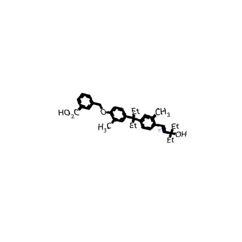 CCC(O)(/C=C/c1ccc(C(CC)(CC)c2ccc(OCc3cccc(C(=O)O)c3)c(C)c2)cc1C)CC